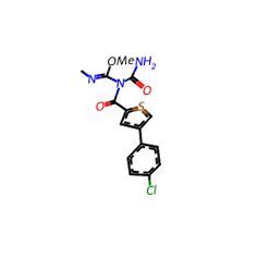 CN=C(OC)N(C(N)=O)C(=O)c1cc(-c2ccc(Cl)cc2)cs1